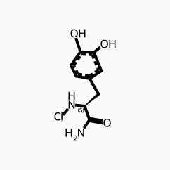 NC(=O)[C@H](Cc1ccc(O)c(O)c1)NCl